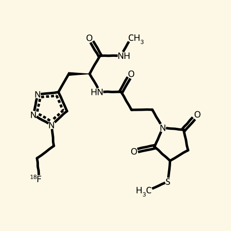 CNC(=O)[C@H](Cc1cn(CC[18F])nn1)NC(=O)CCN1C(=O)CC(SC)C1=O